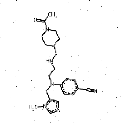 CC(=O)N1CCC(CNCCN(Cc2cncn2C)c2ccc(C#N)cc2)CC1